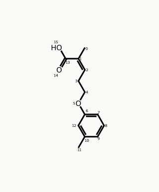 CC(=CCCOc1cccc(C)c1)C(=O)O